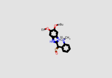 CCCCOc1cc2nc(C(=S=O)c3ccccc3N(C)C)[nH]c2cc1OCC